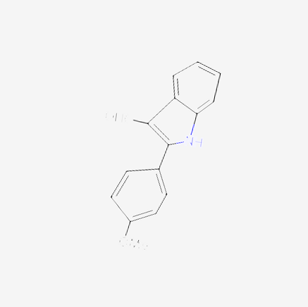 COc1ccc(-c2[nH]c3ccccc3c2C=O)cc1